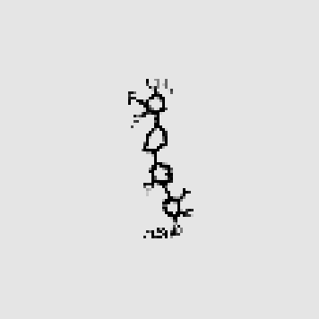 CCCCOc1ccc(-c2ccc(C3CCC(c4ccc(C)c(F)c4F)CC3)cc2F)c(F)c1F